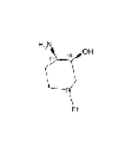 CCN1CC[C@@H](N)[C@@H](O)C1